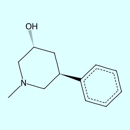 CN1C[C@H](O)C[C@@H](c2ccccc2)C1